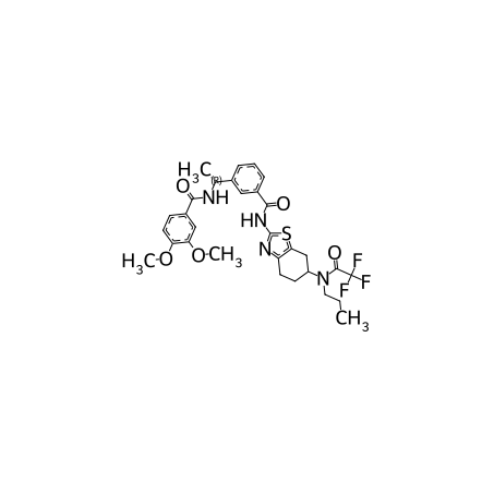 CCCN(C(=O)C(F)(F)F)C1CCc2nc(NC(=O)c3cccc([C@@H](C)NC(=O)c4ccc(OC)c(OC)c4)c3)sc2C1